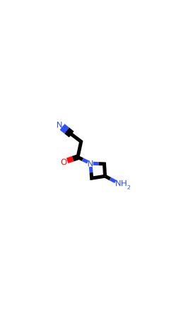 N#CCC(=O)N1CC(N)C1